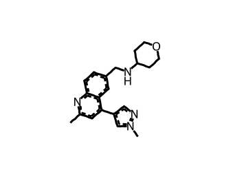 Cc1cc(-c2cnn(C)c2)c2cc(CNC3CCOCC3)ccc2n1